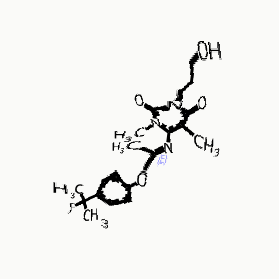 C/C(=N\c1c(C)c(=O)n(CCCO)c(=O)n1C)Oc1ccc(C(C)(C)F)cc1